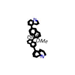 COc1ccc2cc(-c3cccc4ncccc34)ccc2c1-c1c(OC)ccc2cc(-c3cccc4ncccc34)ccc12